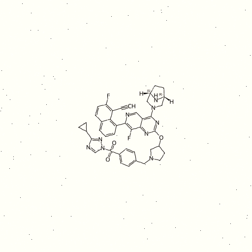 C#Cc1c(F)ccc2cccc(-c3ncc4c(N5C[C@H]6CC[C@@H](C5)N6)nc(OC5CCN(Cc6ccc(S(=O)(=O)n7cnc(C8CC8)n7)cc6)C5)nc4c3F)c12